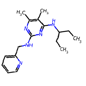 CCC(CC)Nc1nc(NCc2ccccn2)nc(C)c1C